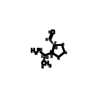 C[C@H](P)N1CCC[C@H]1C=O